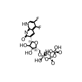 O=c1nc2[nH]cc(F)c(F)c-2cc1[C@@H]1O[C@H](COP(=O)(O)OP(=O)(O)OP(=O)(O)O)[C@H](O)C1O